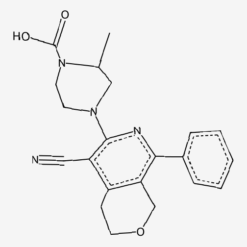 CC1CN(c2nc(-c3ccccc3)c3c(c2C#N)CCOC3)CCN1C(=O)O